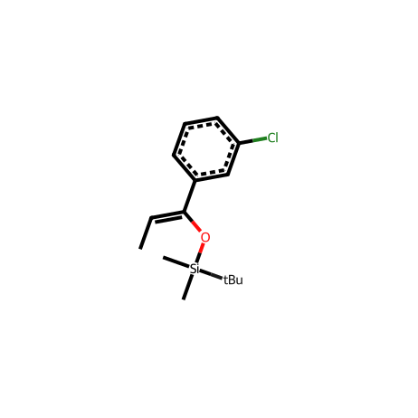 CC=C(O[Si](C)(C)C(C)(C)C)c1cccc(Cl)c1